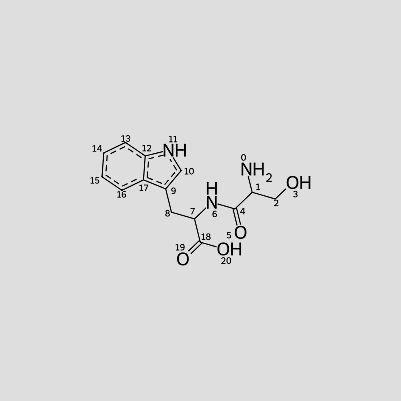 NC(CO)C(=O)NC(Cc1c[nH]c2ccccc12)C(=O)O